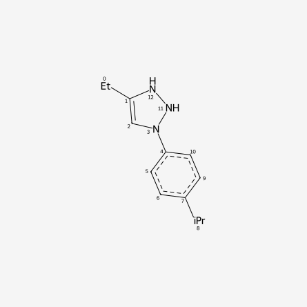 CCC1=CN(c2ccc(C(C)C)cc2)NN1